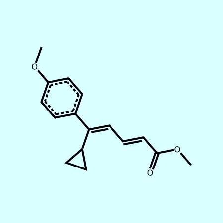 COC(=O)C=CC=C(c1ccc(OC)cc1)C1CC1